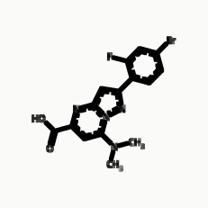 CN(C)c1cc(C(=O)O)nc2cc(-c3ccc(Br)cc3F)nn12